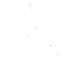 C=CC(=O)Nc1cc(-c2cccc3cnc(Nc4ccc(N5CCN(CC(C)(C)O)CC5)nc4)nc23)ccn1